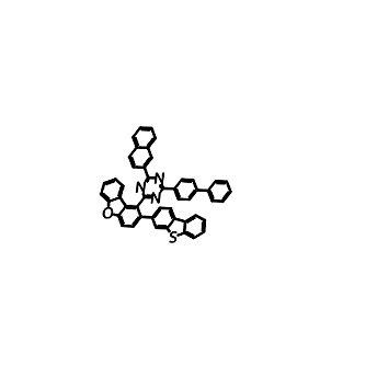 c1ccc(-c2ccc(-c3nc(-c4ccc5ccccc5c4)nc(-c4c(-c5ccc6c(c5)sc5ccccc56)ccc5oc6ccccc6c45)n3)cc2)cc1